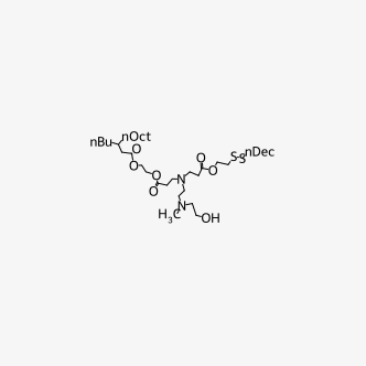 CCCCCCCCCCSSCCOC(=O)CCN(CCC(=O)OCCOC(=O)CC(CCCC)CCCCCCCC)CCN(C)CCO